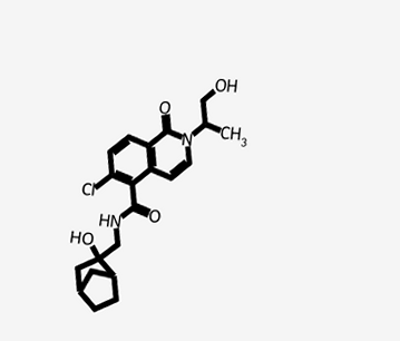 CC(CO)n1ccc2c(C(=O)NCC3(O)CC4CCC3C4)c(Cl)ccc2c1=O